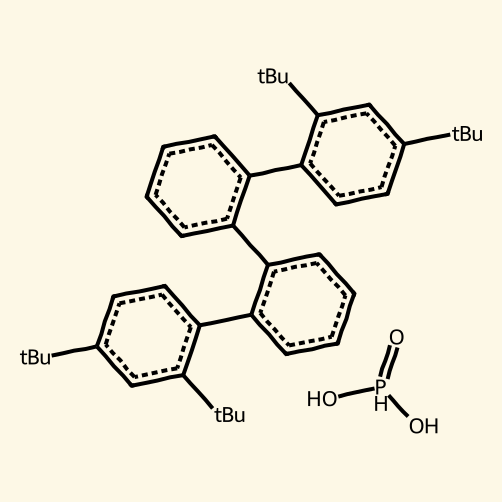 CC(C)(C)c1ccc(-c2ccccc2-c2ccccc2-c2ccc(C(C)(C)C)cc2C(C)(C)C)c(C(C)(C)C)c1.O=[PH](O)O